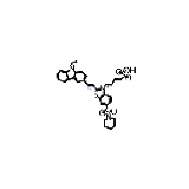 CCn1c2ccccc2c2cc(/C=C/c3sc4cc(S(=O)(=O)N5CCCCC5)ccc4[n+]3CCCCS(=O)(=O)O)ccc21